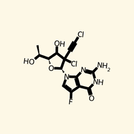 C[C@H](O)[C@H]1O[C@@H](n2cc(F)c3c(=O)[nH]c(N)nc32)C(Cl)(C#CCl)C1O